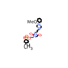 COc1ccccc1N1CCN(CCCCN2C(=O)CN(CCOS(=O)(=O)c3ccc(C)cc3)C2=O)CC1